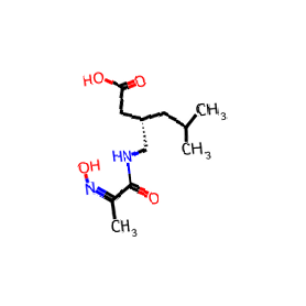 CC(=NO)C(=O)NC[C@H](CC(=O)O)CC(C)C